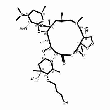 CC[C@H]1OC(=O)[C@H](C)[C@@H](O[C@H]2C[C@@](C)(OC)[C@@H](OCCCO)[C@H](C)O2)[C@H](C)[C@@H](O[C@@H]2O[C@H](C)C[C@H](N(C)C)[C@H]2OC(C)=O)[C@](C)(O)C[C@@H](C)CN(C)[C@H](C)[C@H]2COO[C@@]21C